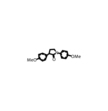 COc1ccc(C2CCN(c3ccc(OC)cc3)C2=O)cc1